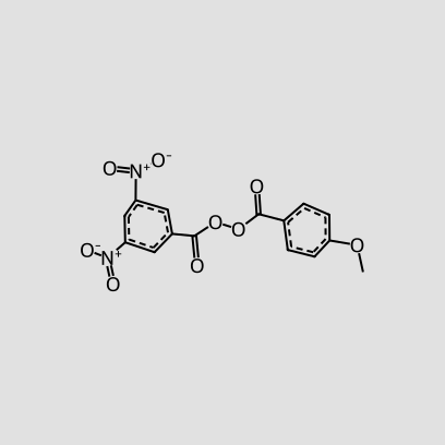 COc1ccc(C(=O)OOC(=O)c2cc([N+](=O)[O-])cc([N+](=O)[O-])c2)cc1